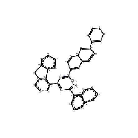 C=C(/N=C(\N=C(/C)C1=CC2C=CC(C3=CCCC=C3)=CC2C=C1)c1cccc2c1-c1ccccc1C2)c1cccc2ccccc12